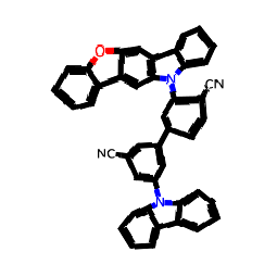 N#Cc1cc(-c2ccc(C#N)c(-n3c4ccccc4c4cc5oc6ccccc6c5cc43)c2)cc(-n2c3ccccc3c3ccccc32)c1